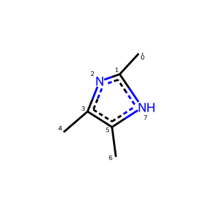 [CH2]c1nc(C)c(C)[nH]1